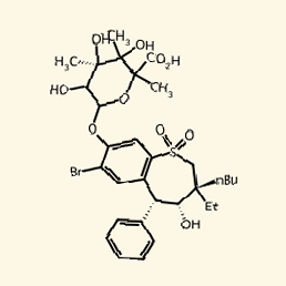 CCCC[C@]1(CC)CS(=O)(=O)c2cc(OC3OC(C)(C(=O)O)C(C)(O)[C@](C)(O)C3O)c(Br)cc2[C@@H](c2ccccc2)[C@H]1O